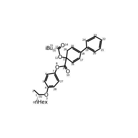 CCCCCC[C@H](C)Oc1ccc(OC(=O)C2(OC(=O)[C@@H](C)CC)C=CC(c3ccccc3)=CC2)cc1